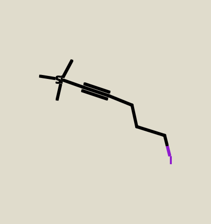 C[Si](C)(C)C#CCCCI